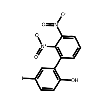 O=[N+]([O-])c1cccc(-c2cc(I)ccc2O)c1[N+](=O)[O-]